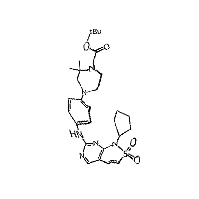 CC(C)(C)OC(=O)N1CCN(c2ccc(Nc3ncc4c(n3)N(C3CCCC3)S(=O)(=O)C=C4)cc2)CC1(C)C